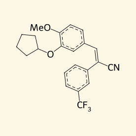 COc1ccc(C=C(C#N)c2cccc(C(F)(F)F)c2)cc1OC1CCCC1